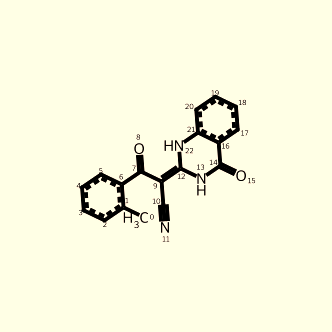 Cc1ccccc1C(=O)/C(C#N)=C1/NC(=O)c2ccccc2N1